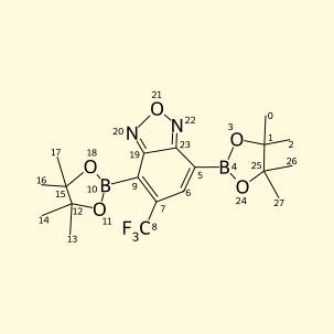 CC1(C)OB(c2cc(C(F)(F)F)c(B3OC(C)(C)C(C)(C)O3)c3nonc23)OC1(C)C